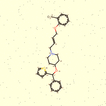 O=[N+]([O-])c1ccccc1OCC=CCN1CCC(OC(c2ccccc2)c2cccs2)CC1